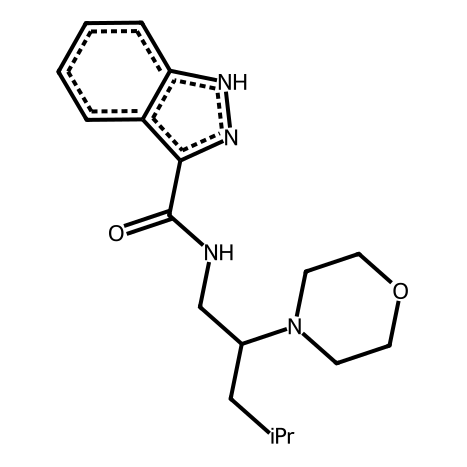 CC(C)CC(CNC(=O)c1n[nH]c2ccccc12)N1CCOCC1